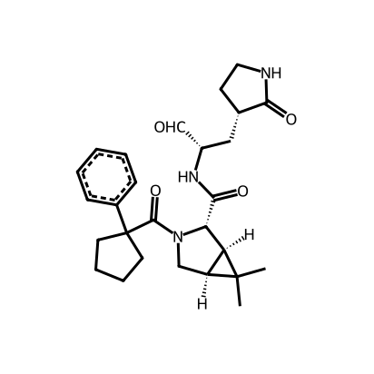 CC1(C)[C@@H]2[C@@H](C(=O)N[C@H](C=O)C[C@@H]3CCNC3=O)N(C(=O)C3(c4ccccc4)CCCC3)C[C@@H]21